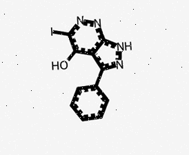 Oc1c(I)nnc2[nH]nc(-c3ccccc3)c12